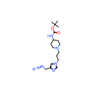 CC(C)(C)OC(=O)NC1CCN(CCCn2cnc(CN=[N+]=[N-])c2)CC1